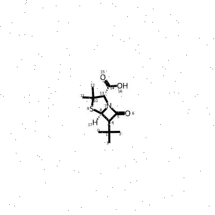 CC(C)(C)C1C(=O)N2[C@@H]1SC(C)(C)[C@@H]2C(=O)O